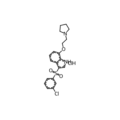 Cl.O=S(=O)(c1cccc(Cl)c1)c1c[nH]c2c(OCCN3CCCC3)cccc12